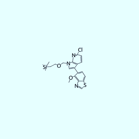 COc1c(-c2cn(COCC[Si](C)(C)C)c3nc(Cl)ccc23)ccc2scnc12